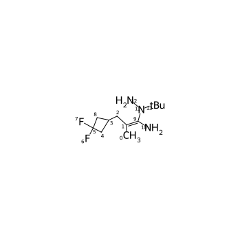 C/C(CC1CC(F)(F)C1)=C(\N)N(N)C(C)(C)C